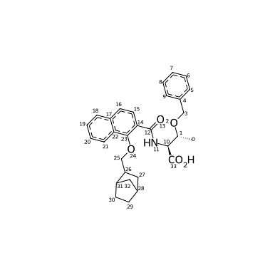 C[C@@H](OCc1ccccc1)[C@H](NC(=O)c1ccc2ccccc2c1OCC1CC2CCC1C2)C(=O)O